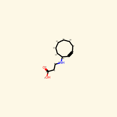 O=C(O)CCNC1C#CCCCCCC1